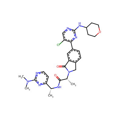 C[C@H](C(=O)N[C@H](C)c1ccnc(N(C)C)n1)N1Cc2ccc(-c3nc(NC4CCOCC4)ncc3Cl)cc2C1=O